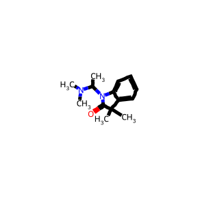 CC(N(C)C)N1C(=O)C(C)(C)c2ccccc21